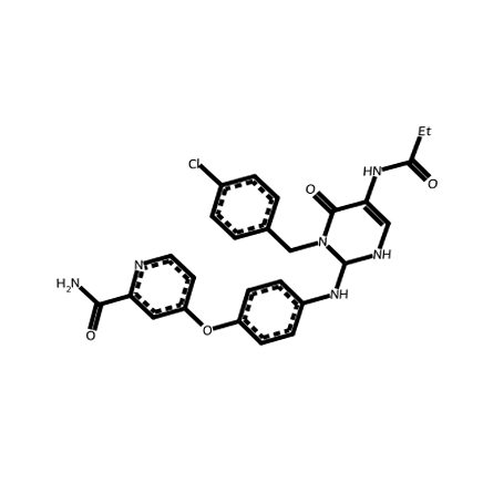 CCC(=O)NC1=CNC(Nc2ccc(Oc3ccnc(C(N)=O)c3)cc2)N(Cc2ccc(Cl)cc2)C1=O